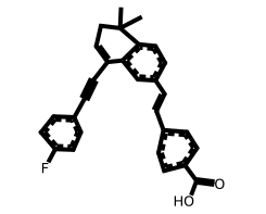 CC1(C)CC=C(C#Cc2ccc(F)cc2)c2cc(C=Cc3ccc(C(=O)O)cc3)ccc21